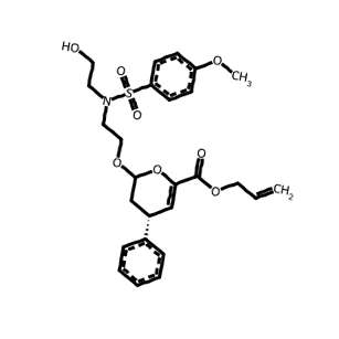 C=CCOC(=O)C1=C[C@H](c2ccccc2)CC(OCCN(CCO)S(=O)(=O)c2ccc(OC)cc2)O1